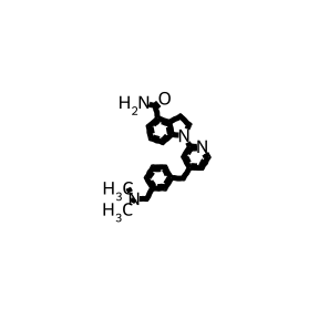 CN(C)Cc1cccc(Cc2ccnc(N3CCc4c(C(N)=O)cccc43)c2)c1